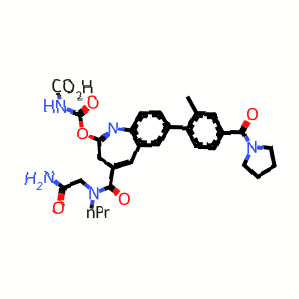 CCCN(CC(N)=O)C(=O)C1=Cc2cc(-c3ccc(C(=O)N4CCCC4)cc3C)ccc2N=C(OC(=O)NC(=O)O)C1